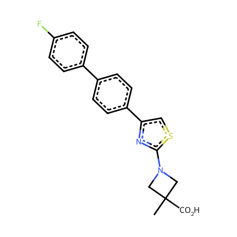 CC1(C(=O)O)CN(c2nc(-c3ccc(-c4ccc(F)cc4)cc3)cs2)C1